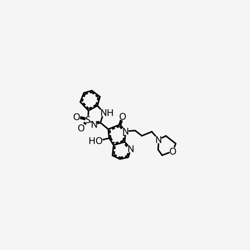 O=c1c(C2=NS(=O)(=O)c3ccccc3N2)c(O)c2cccnc2n1CCCN1CCOCC1